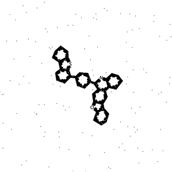 c1ccc2c(c1)nc(-c1ccc(-c3cccc4c3sc3ccccc34)cc1)c1cc3oc4ccccc4c3cc12